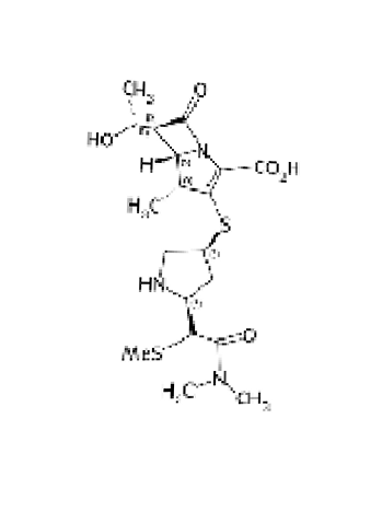 CSC(C(=O)N(C)C)[C@@H]1C[C@H](SC2=C(C(=O)O)N3C(=O)[C@H]([C@@H](C)O)[C@H]3[C@H]2C)CN1